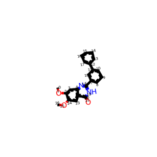 COc1cc2nc(-c3cccc(-c4ccccc4)c3)[nH]c(=O)c2cc1OC